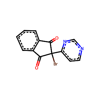 O=C1c2ccccc2C(=O)C1(Br)c1ccncn1